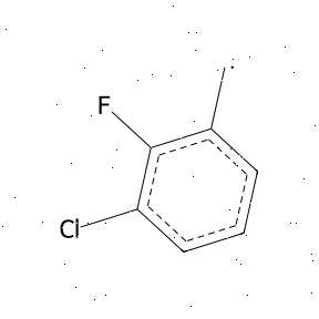 [CH2]c1cccc(Cl)c1F